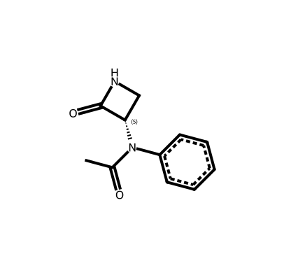 CC(=O)N(c1ccccc1)[C@H]1CNC1=O